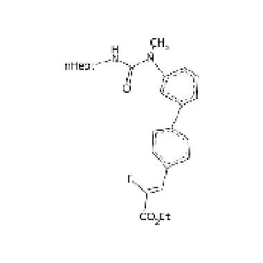 CCCCCCCNC(=O)N(C)c1cccc(-c2ccc(C=C(F)C(=O)OCC)cc2)c1